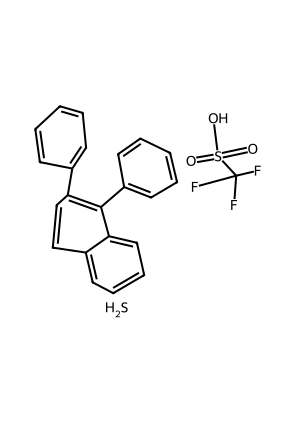 O=S(=O)(O)C(F)(F)F.S.c1ccc(-c2ccc3ccccc3c2-c2ccccc2)cc1